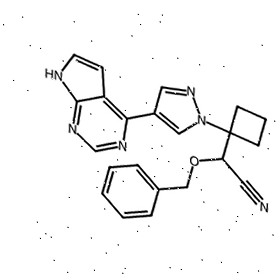 N#CC(OCc1ccccc1)C1(n2cc(-c3ncnc4[nH]ccc34)cn2)CCC1